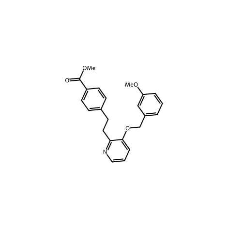 COC(=O)c1ccc(CCc2ncccc2OCc2cccc(OC)c2)cc1